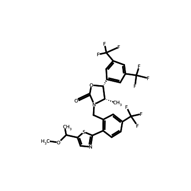 COC(C)c1cnc(-c2ccc(C(F)(F)F)cc2CN2C(=O)O[C@H](c3cc(C(F)(F)F)cc(C(F)(F)F)c3)[C@@H]2C)s1